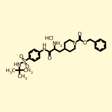 CC(C)(C)NS(=O)(=O)c1ccc(NC(=O)C(N)CC2CCN(C(=O)OCc3ccccc3)CC2)cc1.Cl